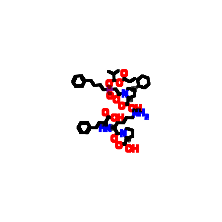 CCC(=O)OC(OP(=O)(CCCCc1ccccc1)CC(=O)N1C[C@H](C2CCCCC2)C[C@H]1C(=O)O)C(C)C.NCCCC[C@H](N[C@@H](CCc1ccccc1)C(=O)O)C(=O)N1CCC[C@H]1C(=O)O